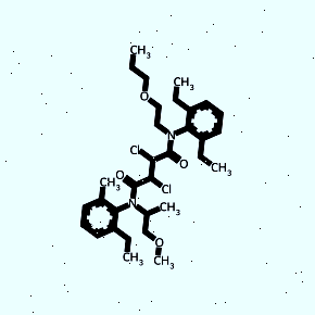 CCCOCCN(C(=O)C(Cl)C(Cl)C(=O)N(c1c(C)cccc1CC)C(C)COC)c1c(CC)cccc1CC